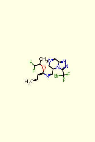 C=C/C=C(\N=C/[C@H]1CN=Cc2nnc(C(F)(F)Br)n21)OC(C)C(F)F